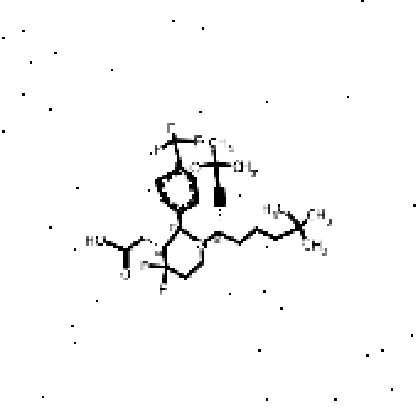 CC(C)(C)C#C[C@H](CCCC(C)(C)C)N1CCC(F)(F)[C@H](CC(=O)O)[C@H]1c1ccc(C(F)(F)F)cc1